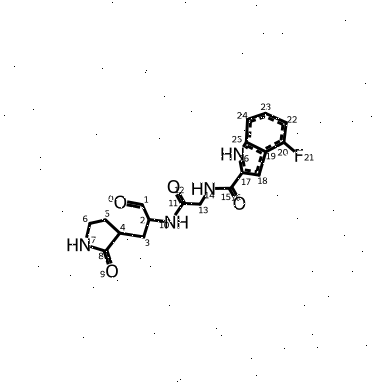 O=CC(CC1CCNC1=O)NC(=O)CNC(=O)c1cc2c(F)cccc2[nH]1